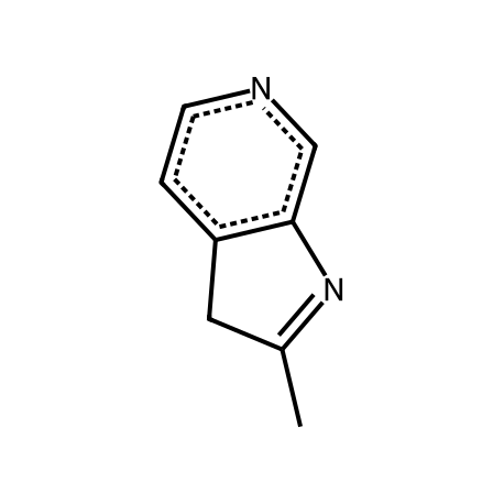 CC1=Nc2cnccc2C1